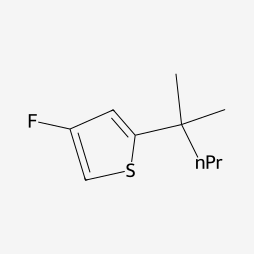 CCCC(C)(C)c1cc(F)cs1